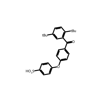 CC(C)(C)c1ccc(C(C)(C)C)c(C(=O)c2ccc(Oc3ccc(S(=O)(=O)O)cc3)cc2)c1